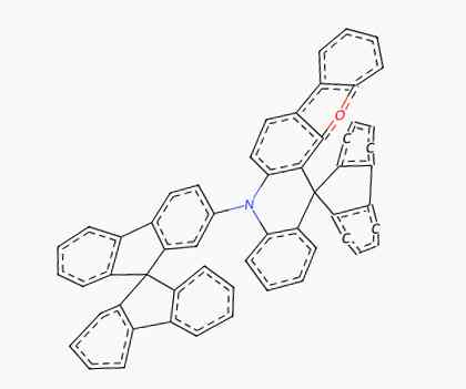 c1ccc2c(c1)-c1ccccc1C21c2ccccc2-c2ccc(N3c4ccccc4C4(c5ccccc5-c5ccccc54)c4c3ccc3c4oc4ccccc43)cc21